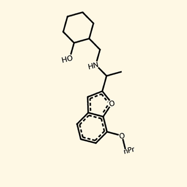 CCCOc1cccc2cc(C(C)NCC3CCCCC3O)oc12